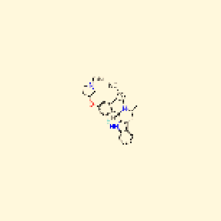 CCCCN1CC[C@@H](Oc2cc(F)c3c(c2)C2C4(C#N)CC2(C4)N2[C@@H]3c3[nH]c4ccccc4c3C[C@@H]2C)C1